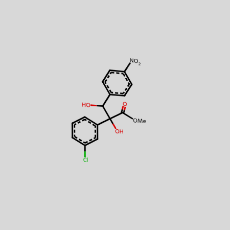 COC(=O)C(O)(c1cccc(Cl)c1)C(O)c1ccc([N+](=O)[O-])cc1